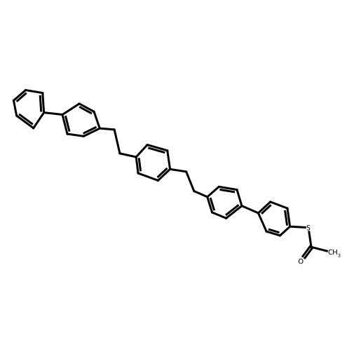 CC(=O)Sc1ccc(-c2ccc(CCc3ccc(CCc4ccc(-c5ccccc5)cc4)cc3)cc2)cc1